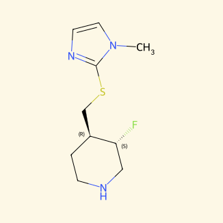 Cn1ccnc1SC[C@@H]1CCNC[C@H]1F